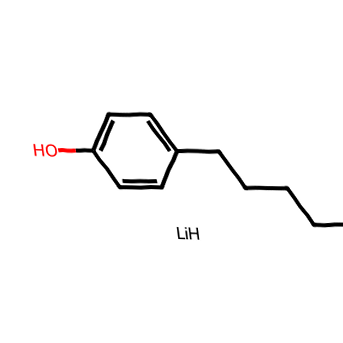 CCCCCc1ccc(O)cc1.[LiH]